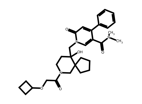 CN(C)C(=O)c1cn(CC2(O)CCN(C(=O)COC3CCC3)CC23CCCC3)c(=O)cc1-c1ccccc1